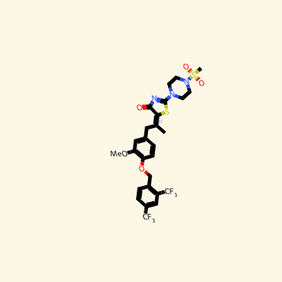 COc1cc(C/C(C)=C2/SC(N3CCN(S(C)(=O)=O)CC3)=NC2=O)ccc1OCc1ccc(C(F)(F)F)cc1C(F)(F)F